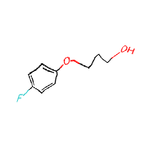 OCCCOc1ccc(F)cc1